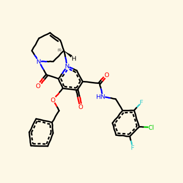 O=C(NCc1ccc(F)c(Cl)c1F)c1cn2c(c(OCc3ccccc3)c1=O)C(=O)N1CCC=C[C@H]2C1